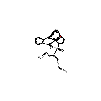 C=CCN(CC=C)[P@@](=O)(OC1c2ccccc2-c2ccccc21)c1ccccc1